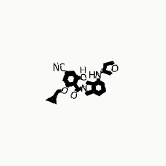 N#Cc1cc(O)c(C(=O)N2Cc3cccc(N[C@H]4CCOC4)c3C2)c(OCC2CC2)c1